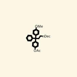 CCCCCCCCCCCCC(c1ccccc1)(c1ccc(OC)cc1)c1ccc(OC(C)=O)cc1